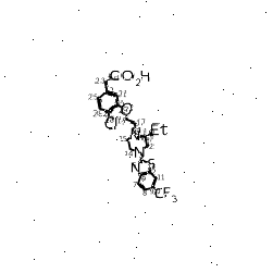 CC[C@H]1CN(c2nc3ccc(C(F)(F)F)cc3s2)CCN1CCOc1cc(CC(=O)O)ccc1Cl